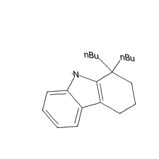 CCCCC1(CCCC)CCCC2=C1[N]c1ccccc12